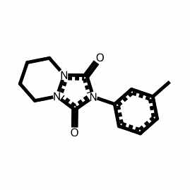 Cc1cccc(-n2c(=O)n3n(c2=O)CCCC3)c1